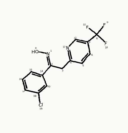 ON=C(Cc1ccc(C(F)(F)F)cn1)c1cccc(Cl)c1